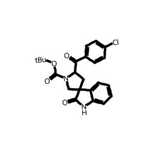 CC(C)(C)OC(=O)N1CC2(CC1C(=O)c1ccc(Cl)cc1)C(=O)Nc1ccccc12